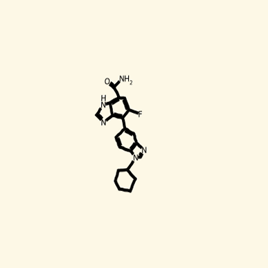 NC(=O)c1cc(F)c(-c2ccc3c(c2)ncn3C2CCCCC2)c2nc[nH]c12